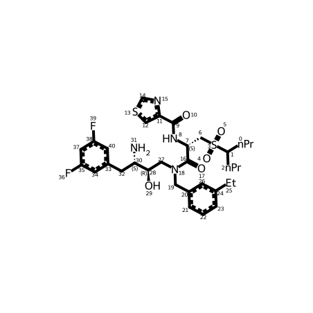 CCCC(CCC)S(=O)(=O)C[C@@H](NC(=O)c1cscn1)C(=O)N(Cc1cccc(CC)c1)C[C@@H](O)[C@@H](N)Cc1cc(F)cc(F)c1